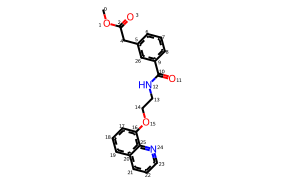 COC(=O)Cc1cccc(C(=O)NCCOc2cccc3cccnc23)c1